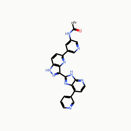 CCCC(=O)Nc1cncc(-c2ccc3[nH]nc(-c4nc5c(-c6cccnc6)ccnc5[nH]4)c3n2)c1